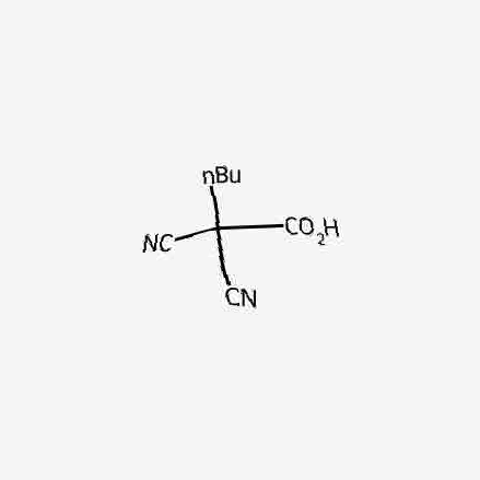 CCCCC(C#N)(C#N)C(=O)O